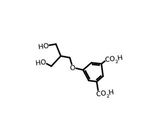 O=C(O)c1cc(OCC(CO)CO)cc(C(=O)O)c1